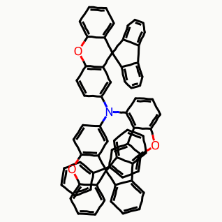 c1ccc(-c2ccc3oc4cccc(N(c5ccc6c(c5)C5(c7ccccc7O6)c6ccccc6-c6ccccc65)c5ccc6c(c5)C5(c7ccccc7O6)c6ccccc6-c6ccccc65)c4c3c2)cc1